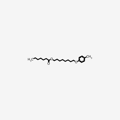 CCCCCCC(=O)OCCCCCCCCOc1ccc(C)cc1